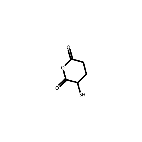 O=C1CCC(S)C(=O)O1